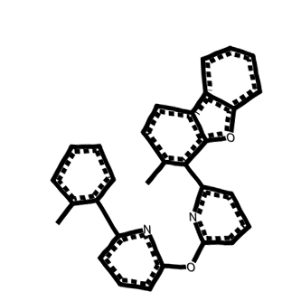 Cc1ccccc1-c1cccc(Oc2cccc(-c3c(C)ccc4c3oc3ccccc34)n2)n1